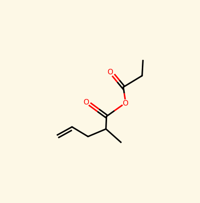 C=CCC(C)C(=O)OC(=O)CC